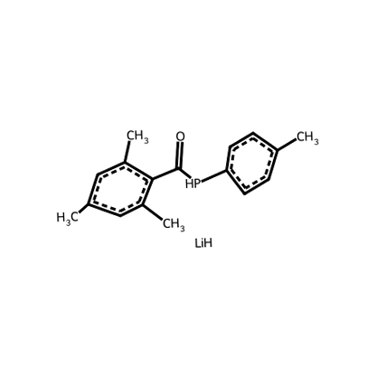 Cc1ccc(PC(=O)c2c(C)cc(C)cc2C)cc1.[LiH]